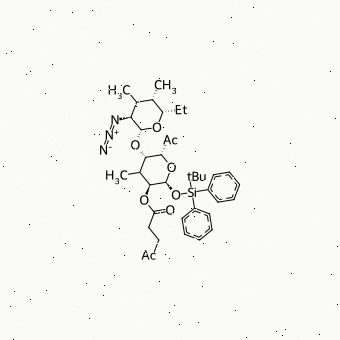 CC[C@@H]1O[C@H](O[C@H]2C(C)[C@H](OC(=O)CCC(C)=O)[C@H](O[Si](c3ccccc3)(c3ccccc3)C(C)(C)C)O[C@H]2C(C)=O)[C@@H](N=[N+]=[N-])C(C)[C@@H]1C